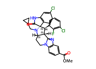 COC(=O)c1ccc2c(c1)nc1n2CC[C@H]2[C@@H]1[C@H](c1cccc(Cl)c1F)[C@]1(C(=O)Nc3cc(Cl)ccc31)N2CC1CC1